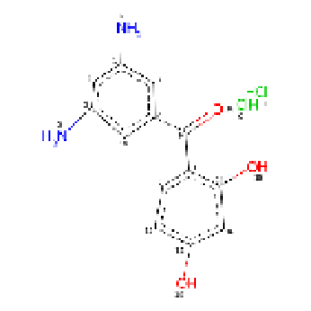 Cl.Cl.Nc1cc(N)cc(C(=O)c2ccc(O)cc2O)c1